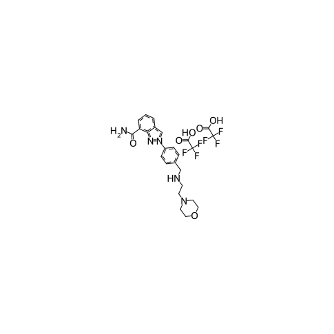 NC(=O)c1cccc2cn(-c3ccc(CNCCN4CCOCC4)cc3)nc12.O=C(O)C(F)(F)F.O=C(O)C(F)(F)F